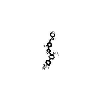 [2H]c1cc(CNC2CCOCC2)ccc1-c1cc(-c2nc(-c3ccc(S(=O)(=O)C(C)C)cc3)cnc2N)on1